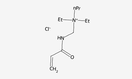 C=CC(=O)NC[N+](CC)(CC)CCC.[Cl-]